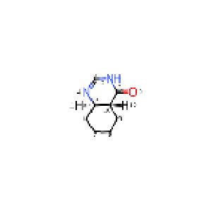 O=C1NC=N[C@@H]2CCCC[C@@H]12